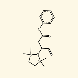 C=CC(CC(=S)Oc1ccccc1)N1[Si](C)(C)CC[Si]1(C)C